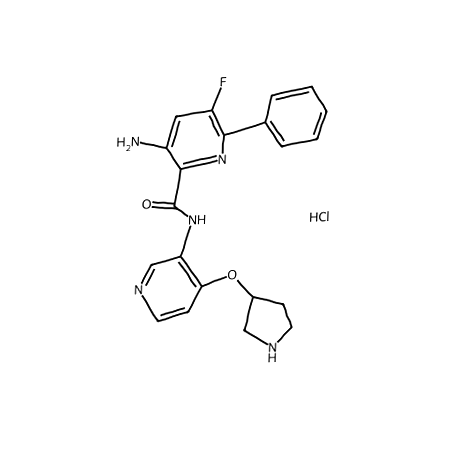 Cl.Nc1cc(F)c(-c2ccccc2)nc1C(=O)Nc1cnccc1OC1CCNC1